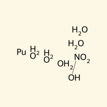 O.O.O.O.O.O=[N+]([O-])O.[Pu]